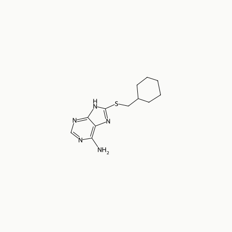 Nc1ncnc2[nH]c(SCC3CCCCC3)nc12